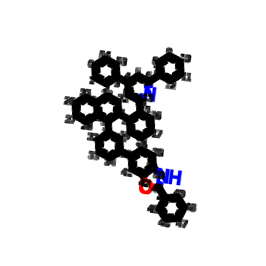 c1ccc(-c2cc(-c3ccccc3)nc(-c3ccccc3-c3ccc4ccccc4c3-c3cccc(-c4ccc5c(c4)OC(c4ccccc4)N5)c3)c2)cc1